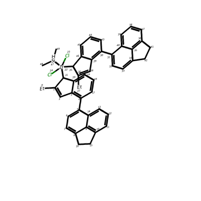 CCC1=Cc2c(-c3ccc4c5c(cccc35)CC4)cccc2[CH]1[Zr]([Cl])([Cl])([CH]1C(CC)=Cc2c(-c3ccc4c5c(cccc35)CC4)cccc21)[SiH](C)C